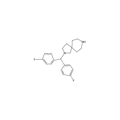 Fc1ccc(C(c2ccc(F)cc2)N2CCC3(CCNCC3)C2)cc1